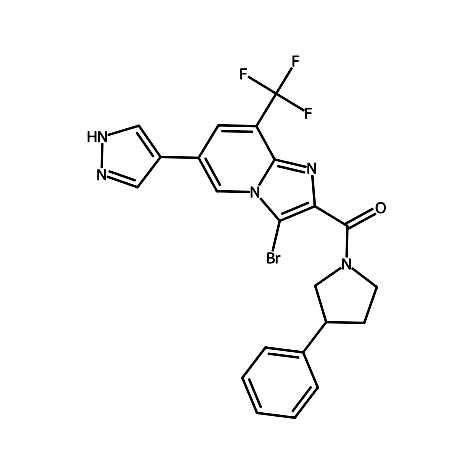 O=C(c1nc2c(C(F)(F)F)cc(-c3cn[nH]c3)cn2c1Br)N1CCC(c2ccccc2)C1